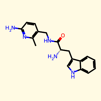 Cc1nc(N)ccc1CNC(=O)[C@@H](N)Cc1c[nH]c2ccccc12